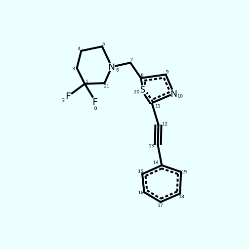 FC1(F)CCCN(Cc2cnc(C#Cc3ccccc3)s2)C1